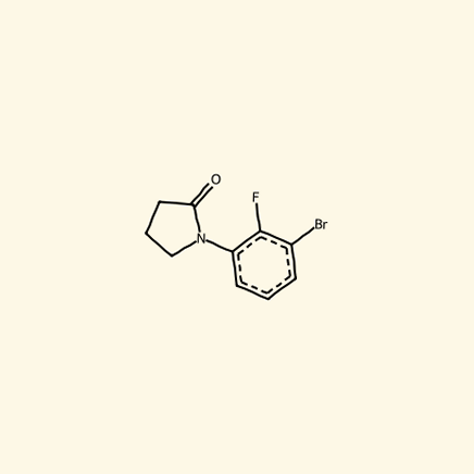 O=C1CCCN1c1cccc(Br)c1F